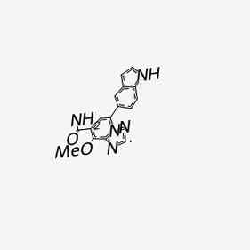 COc1c(C(N)=O)cc(-c2ccc3[nH]ccc3c2)n2n[c]nc12